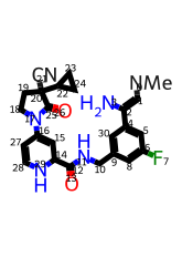 CN/C=C(\N)c1cc(F)cc(CNC(=O)C2C=C(N3CCC(C#N)(C4CC4)C3=O)C=CN2)c1